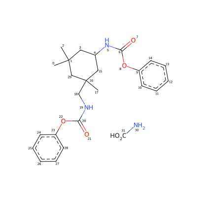 CC1(C)CC(NC(=O)Oc2ccccc2)CC(C)(CNC(=O)Oc2ccccc2)C1.NC(=O)O